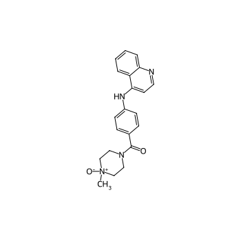 C[N+]1([O-])CCN(C(=O)c2ccc(Nc3ccnc4ccccc34)cc2)CC1